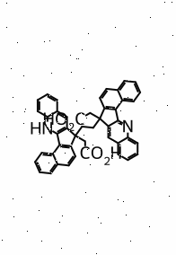 O=C(O)CC1(CCC2(CC(=O)O)c3cc4ccccc4nc3-c3c2ccc2ccccc32)C2=C(NC3C=CC=CC3=C2)c2c1ccc1ccccc21